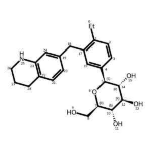 CCc1ccc([C@@H]2O[C@H](CO)[C@@H](O)[C@H](O)[C@H]2O)cc1Cc1ccc2c(c1)NCCC2